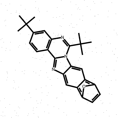 CC(C)(C)c1ccc2c(c1)nc(C(C)(C)C)n1c3cc4c5ccc(o5)c4cc3nc21